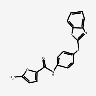 O=C(Nc1ccc(Sc2nc3ccccc3s2)cc1)c1ccc([N+](=O)[O-])o1